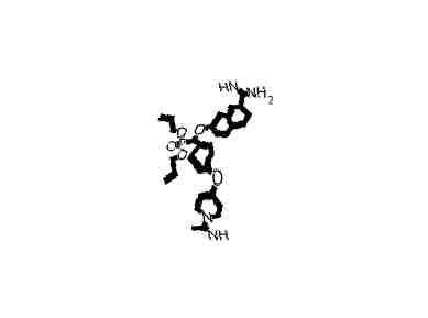 C=CCOP(=O)(OCC=C)C(Oc1ccc2ccc(C(=N)N)cc2c1)c1ccc(OC2CCN(C(C)=N)CC2)cc1